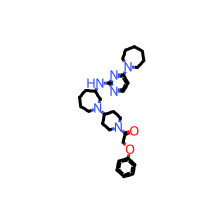 O=C(COc1ccccc1)N1CCC(N2CCCCC(Nc3nccc(N4CCCCCC4)n3)C2)CC1